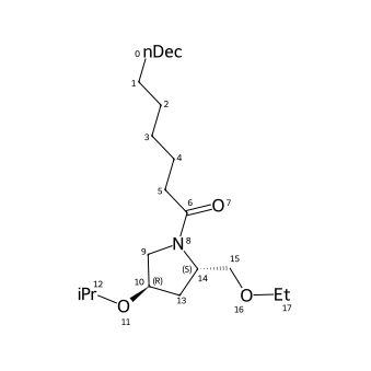 CCCCCCCCCCCCCCCC(=O)N1C[C@H](OC(C)C)C[C@H]1COCC